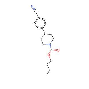 CCCCOC(=O)N1CCC(c2ccc(C#N)cc2)CC1